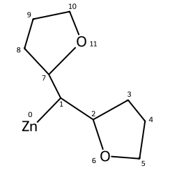 [Zn][CH](C1CCCO1)C1CCCO1